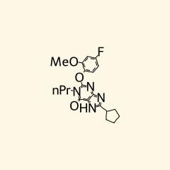 CCCn1c(Oc2ccc(F)cc2OC)nc2nc(C3CCCC3)[nH]c2c1=O